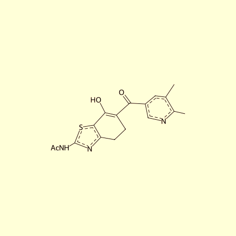 CC(=O)Nc1nc2c(s1)C(O)=C(C(=O)c1cnc(C)c(C)c1)CC2